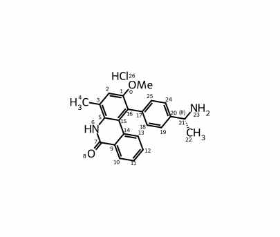 COc1cc(C)c2[nH]c(=O)c3ccccc3c2c1-c1ccc([C@@H](C)N)cc1.Cl